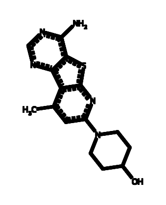 Cc1cc(N2CCC(O)CC2)nc2sc3c(N)ncnc3c12